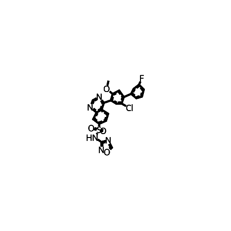 COc1cc(-c2cccc(F)c2)c(Cl)cc1-c1ncnc2cc(S(=O)(=O)Nc3ncon3)ccc12